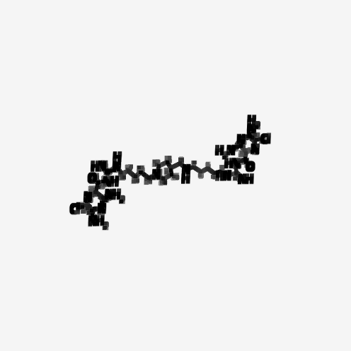 N=C(NCCCCCNCC1CCN(CCCCCNC(=N)NC(=O)c2nc(Cl)c(N)nc2N)CC1)NC(=O)c1nc(Cl)c(N)nc1N